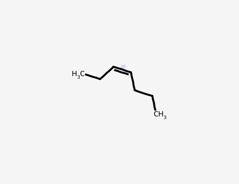 CC/C=C\CCC